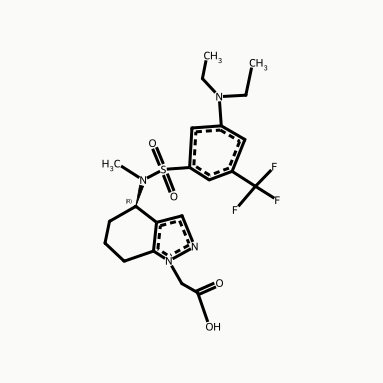 CCN(CC)c1cc(C(F)(F)F)cc(S(=O)(=O)N(C)[C@@H]2CCCc3c2cnn3CC(=O)O)c1